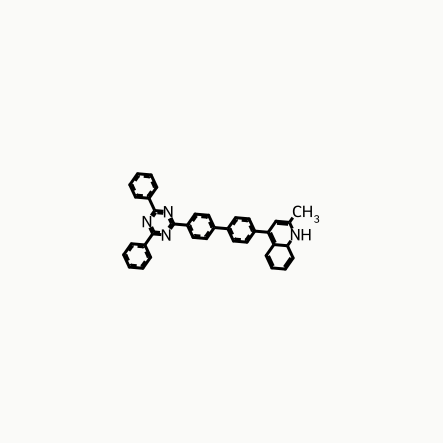 CC1=CC(c2ccc(-c3ccc(-c4nc(-c5ccccc5)nc(-c5ccccc5)n4)cc3)cc2)=C2C=CC=CC2N1